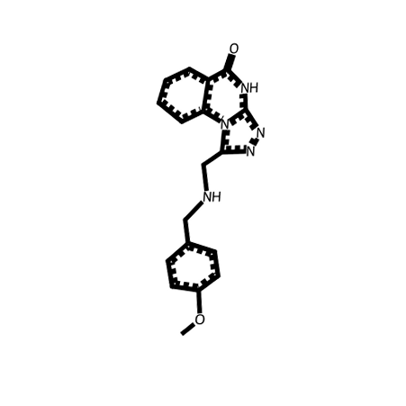 COc1ccc(CNCc2nnc3[nH]c(=O)c4ccccc4n23)cc1